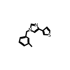 Cc1cccc(Cn2cnc(-c3ccsc3)c2)c1